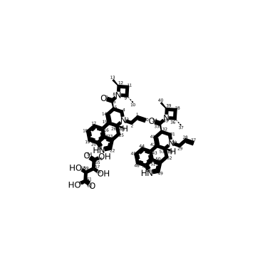 C=CCN1C[C@H](C(=O)N2[C@@H](C)C[C@@H]2C)C=C2c3cccc4[nH]cc(c34)C[C@H]21.C=CCN1C[C@H](C(=O)N2[C@@H](C)C[C@@H]2C)C=C2c3cccc4[nH]cc(c34)C[C@H]21.O=C(O)C(O)C(O)C(=O)O